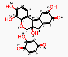 O=C1C=C2CC3(O)COc4c(ccc(O)c4O)C3=C2C=C1O.O=C1C=CC(=O)C(O)=C1